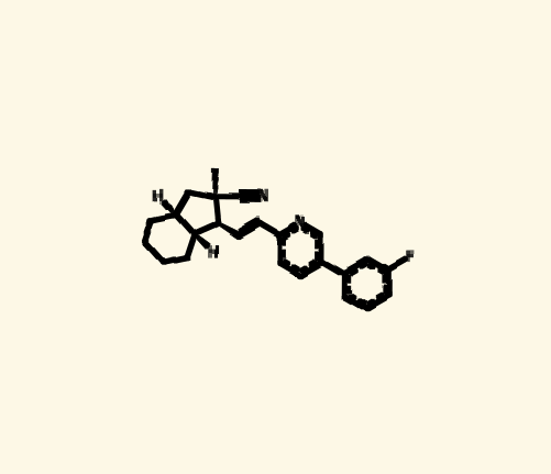 C[C@]1(C#N)C[C@H]2CCCC[C@H]2[C@@H]1/C=C/c1ccc(-c2cccc(F)c2)cn1